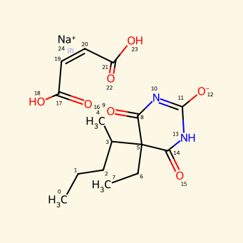 CCCC(C)C1(CC)C(=O)N=C([O-])NC1=O.O=C(O)/C=C\C(=O)O.[Na+]